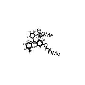 COCCOc1ccc(C(c2cccc(F)c2)[C@H]2CCC[C@@H]2NC(=O)OC)cc1